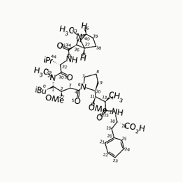 CC[C@H](C)[C@@H]([C@@H](CC(=O)N1CCC[C@H]1[C@H](OC)[C@@H](C)C(=O)N[C@@H](Cc1ccccc1)C(=O)O)OC)N(C)C(=O)[C@@H](NC(=O)[C@@H]1[C@H]2CC[C@H](C2)N1C)C(C)C